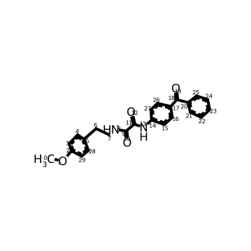 COc1ccc(CCNC(=O)C(=O)Nc2ccc(C(=O)c3ccccc3)cc2)cc1